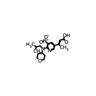 CC(=CC(=O)O)c1cnc(N(CC(C)C)C2CCOCC2)c([N+](=O)[O-])c1